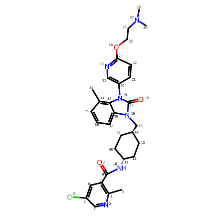 Cc1ncc(Cl)cc1C(=O)N[C@H]1CC[C@H](Cn2c(=O)n(-c3ccc(OCCN(C)C)nc3)c3c(C)cccc32)CC1